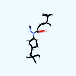 C=NN(C(=O)/C=C(\C)C(C)C)c1ccc(C(C)(C)C)cc1